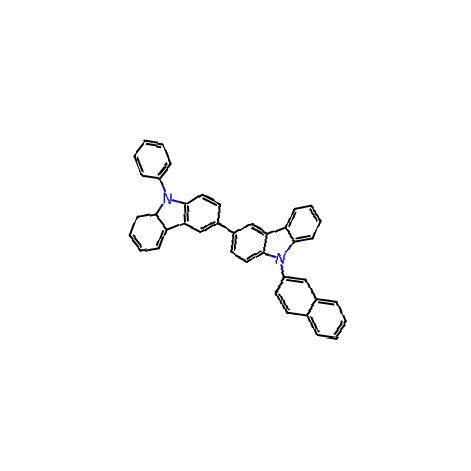 C1=CCC2C(=C1)c1cc(-c3ccc4c(c3)c3ccccc3n4-c3ccc4ccccc4c3)ccc1N2c1ccccc1